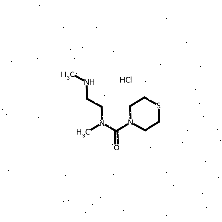 CNCCN(C)C(=O)N1CCSCC1.Cl